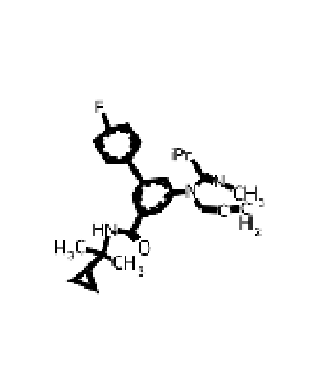 C=C=CN(/C(=N\C)C(C)C)c1cc(C(=O)NC(C)(C)C2CC2)cc(-c2ccc(F)cc2)c1